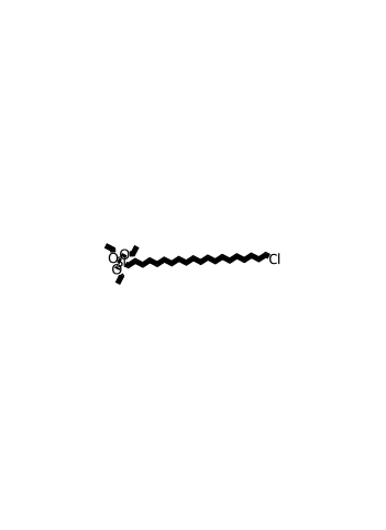 CCO[Si](CCCCCCCCCCCCCCCCCCCCCl)(OCC)OCC